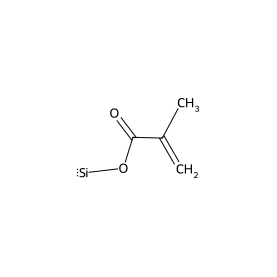 C=C(C)C(=O)O[Si]